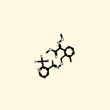 CO/N=C(/C(=O)OC)c1cccc(C)c1CO/N=C(\C)c1cccnc1C(F)(F)F